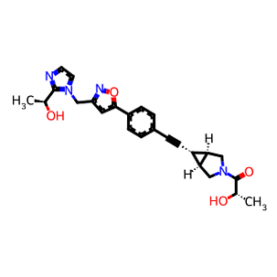 C[C@H](O)C(=O)N1C[C@@H]2[C@@H](C#Cc3ccc(-c4cc(Cn5ccnc5[C@H](C)O)no4)cc3)[C@@H]2C1